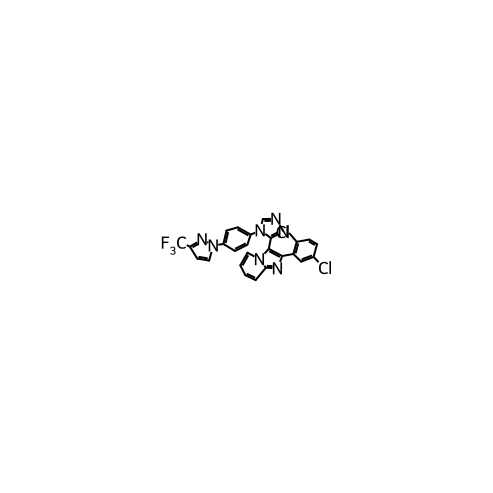 FC(F)(F)c1ccn(-c2ccc(-n3cnnc3-c3c(-c4cc(Cl)ccc4Cl)nc4ccccn34)cc2)n1